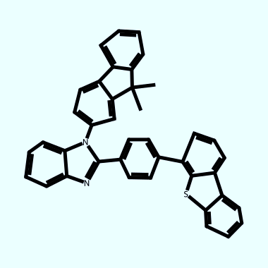 CC1(C)c2ccccc2-c2ccc(-n3c(-c4ccc(-c5cccc6c5sc5ccccc56)cc4)nc4ccccc43)cc21